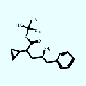 CC(C)(C)OC(=O)N(CC(N)Cc1ccccc1)C1CC1